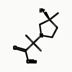 COC(=O)C(C)(C)N1CC[C@](C)(C(C)C)C1